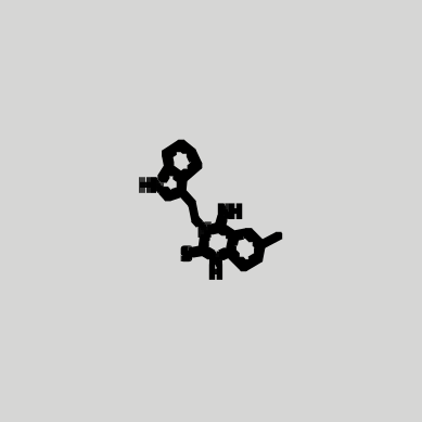 Cc1ccc2[nH]c(=S)n(CCc3c[nH]c4ccccc34)c(=N)c2c1